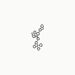 c1ccc(-c2c(-c3ccccc3)c3cc(-c4cccc(N(c5ccc(-c6ccc7c(ccc8ccccc87)c6)cc5)c5cccc6sc7ccccc7c56)c4)ccc3c3ccccc23)cc1